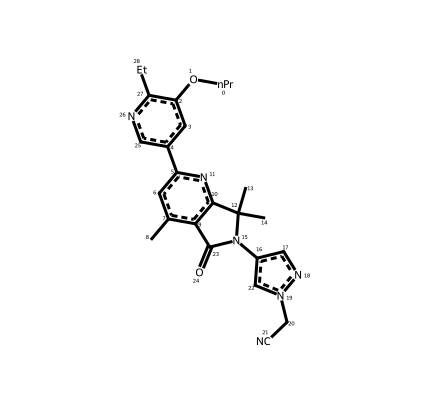 CCCOc1cc(-c2cc(C)c3c(n2)C(C)(C)N(c2cnn(CC#N)c2)C3=O)cnc1CC